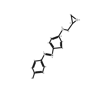 Cc1ccc(N=Nc2ccc(OCC3CO3)cc2)cc1